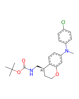 CN(c1ccc(Cl)cc1)c1ccc2c(c1)OCC[C@H]2CNC(=O)OC(C)(C)C